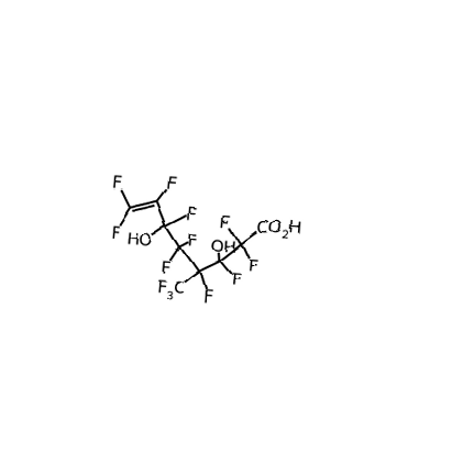 O=C(O)C(F)(F)C(O)(F)C(F)(C(F)(F)F)C(F)(F)C(O)(F)C(F)=C(F)F